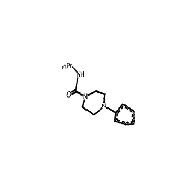 [CH2]CCNC(=O)N1CCN(c2ccccc2)CC1